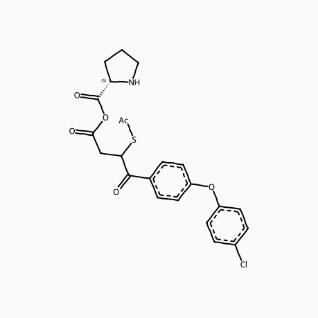 CC(=O)SC(CC(=O)OC(=O)[C@@H]1CCCN1)C(=O)c1ccc(Oc2ccc(Cl)cc2)cc1